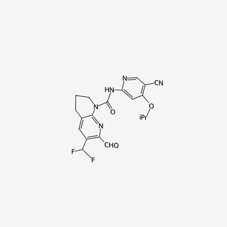 CC(C)Oc1cc(NC(=O)N2CCCc3cc(C(F)F)c(C=O)nc32)ncc1C#N